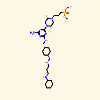 CCOP(=O)(CCCN1CCN(c2nc(N)nc(NC[C@H]3CC[C@H](CNCCCNC4CCCCC4)CC3)n2)C[C@@H]1C)OCC